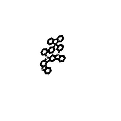 c1ccc(-n2c3cc4c(cc3c3c5c(ccc32)oc2ccccc25)c2ccccc2n4-c2cccc(C3(c4ccccc4)c4ccccc4-c4ccccc43)c2)cc1